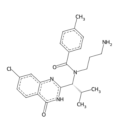 Cc1ccc(C(=O)N(CCCN)[C@@H](c2nc3cc(Cl)ccc3c(=O)[nH]2)C(C)C)cc1